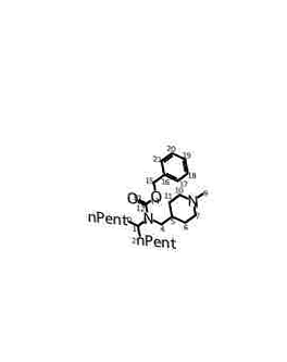 CCCCCC(CCCCC)N(CC1CCN(C)CC1)C(=O)OCc1ccccc1